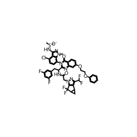 Cn1nc(N[S+](C)[O-])c2c(Cl)ccc(-n3c(C(Cc4cc(F)cc(F)c4)NC(=O)Cn4nc(C(F)F)c5c4C(F)(F)C4CC54)nc4cc(OCCOc5ccccc5)ccc4c3=O)c21